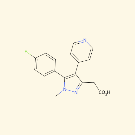 Cn1nc(CC(=O)O)c(-c2ccncc2)c1-c1ccc(F)cc1